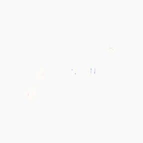 Cc1nc(N2CCC(CS(C)(=O)=O)CC2)ccc1Br